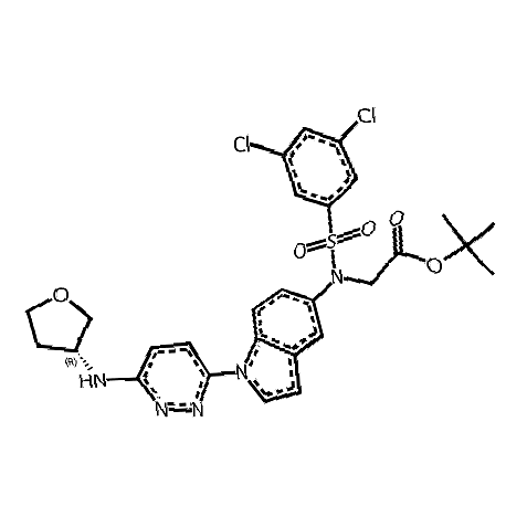 CC(C)(C)OC(=O)CN(c1ccc2c(ccn2-c2ccc(N[C@@H]3CCOC3)nn2)c1)S(=O)(=O)c1cc(Cl)cc(Cl)c1